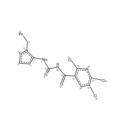 CC(C)Cn1nccc1NC(=O)NC(=O)c1cc(Cl)c(Cl)nc1Cl